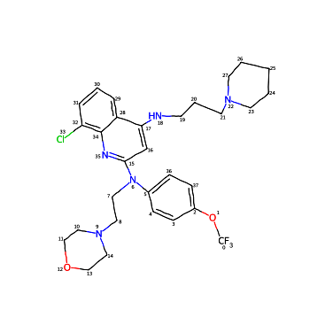 FC(F)(F)Oc1ccc(N(CCN2CCOCC2)c2cc(NCCCN3CCCCC3)c3cccc(Cl)c3n2)cc1